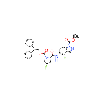 CC(C)(C)OC(=O)n1ncc2c(F)c(NC(=O)[C@H]3C[C@@H](F)CN3C(=O)OCC3c4ccccc4-c4ccccc43)ccc21